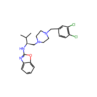 CC(C)[C@@H](CN1CCN(Cc2ccc(Cl)c(Cl)c2)CC1)Nc1nc2ccccc2o1